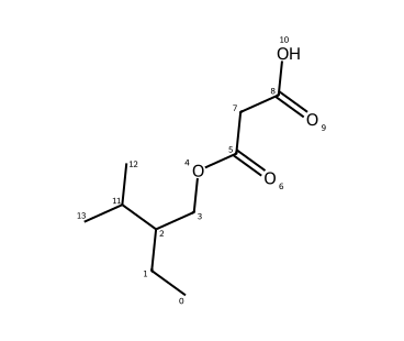 CCC(COC(=O)CC(=O)O)C(C)C